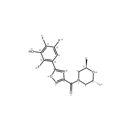 C[C@@H]1CN(C(=O)c2noc(-c3cc(F)c(F)c(O)c3F)n2)C[C@@H](C)O1